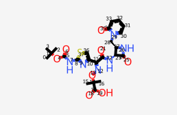 CC(C)(C)OC(=O)Nc1nc(C(=NOC(C)(C)C(=O)O)C(=O)N[C@@H]2C(=O)N[C@@H]2Cn2ccccc2=O)cs1